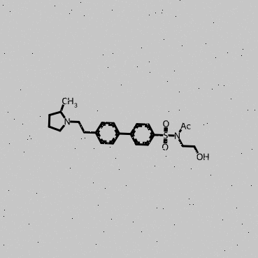 CC(=O)N(CCO)S(=O)(=O)c1ccc(-c2ccc(CCN3CCCC3C)cc2)cc1